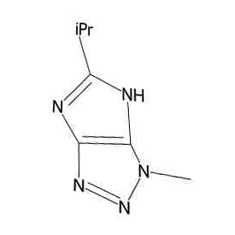 CC(C)c1nc2nnn(C)c2[nH]1